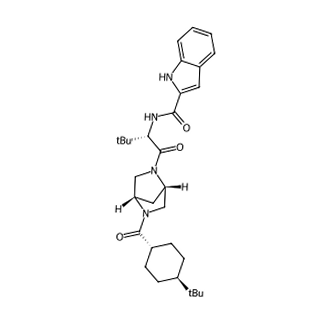 CC(C)(C)[C@H](NC(=O)c1cc2ccccc2[nH]1)C(=O)N1C[C@@H]2C[C@H]1CN2C(=O)[C@H]1CC[C@H](C(C)(C)C)CC1